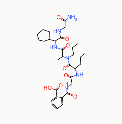 CCCC(NC(=O)CNC(=O)c1ccccc1C(=O)O)C(=O)N(CCC)C(C)C(=O)NC(C(=O)NCC(N)=O)C1CCCCC1